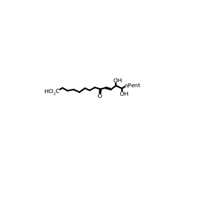 CCCCCC(O)C(O)/C=C/C(=O)CCCCCCCC(=O)O